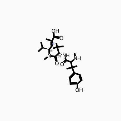 CNC(C(=O)N[C@H](C(=O)N(C)[C@H](/C=C(\C)C(=O)O)C(C)C)C(C)(C)C)C(C)(C)c1ccc(O)cc1